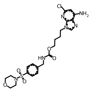 Nc1cc(Cl)nc2c1ncn2CCCCOC(=O)NCc1ccc(S(=O)(=O)N2CCOCC2)cc1